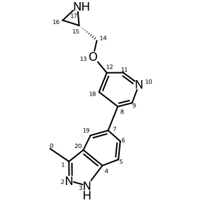 Cc1n[nH]c2ccc(-c3cncc(OC[C@@H]4CN4)c3)cc12